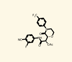 CC(=O)O[C@@H](C(=O)Nc1ccc(C#N)c(F)c1)[C@H]1OCCN(c2ccc(C(F)(F)F)cc2)C1=O